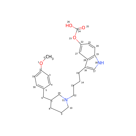 COc1ccc(CC2CCCN(CCCCc3c[nH]c4ccc(OC(=O)O)cc34)C2)cc1